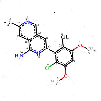 COc1cc(OC)c(Cl)c(-c2cc3cnc(C)cc3c(N)n2)c1C